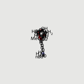 CCCCC1CC(=O)N(C/C(N)=C/NCCOCCOCCOCCOCCOCCSCc2c(OC)ccc3c4c([nH]c23)[S+]([O-])C[C@H]2NC(=O)CNC(=O)[C@H]([C@@H](C)CC)NC(=O)CCNC(=O)[C@H](C4)NC(=O)[C@H]([C@@H](C)[C@@H](O)CO)NC(=O)[C@@H]3C[C@@H](O)CN3C(=O)[C@H](CC(N)=O)NC2=O)C1=O